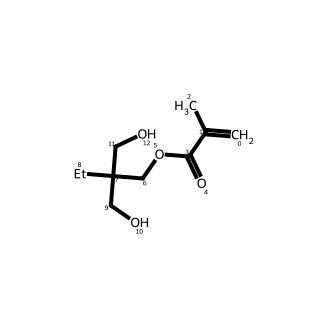 C=C(C)C(=O)OCC(CC)(CO)CO